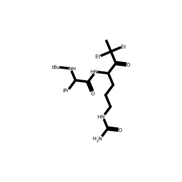 CCC(C)(CC)C(=O)C(CCCNC(N)=O)NC(=O)C(NC(C)(C)C)C(C)C